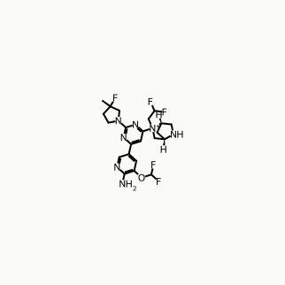 CC1(F)CCN(c2nc(-c3cnc(N)c(OC(F)F)c3)cc([N+]3(CC(F)F)C[C@@H]4C[C@H]3CN4)n2)C1